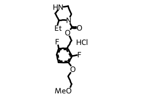 CCC1CNCCN1C(=O)OCc1c(F)ccc(OCCOC)c1F.Cl